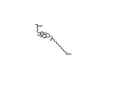 C/C=C(\CC[C@@H](C)[C@H]1CC[C@H]2[C@@H]3CC=C4C[C@@H](OC(=O)CCCCCCCCCCCCCCCCCCCCC)CC[C@]4(C)[C@H]3CC[C@]12C)C(C)C